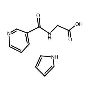 O=C(O)CNC(=O)c1cccnc1.c1cc[nH]c1